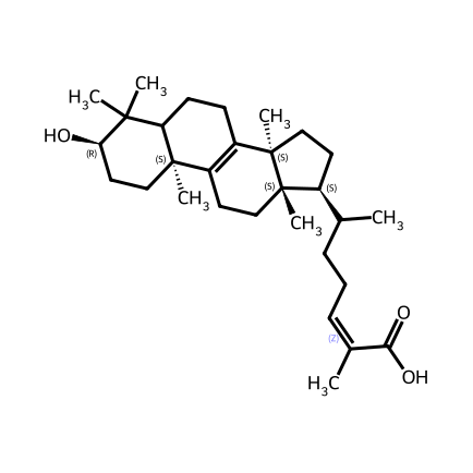 C/C(=C/CCC(C)[C@@H]1CC[C@]2(C)C3=C(CC[C@@]12C)[C@@]1(C)CC[C@@H](O)C(C)(C)C1CC3)C(=O)O